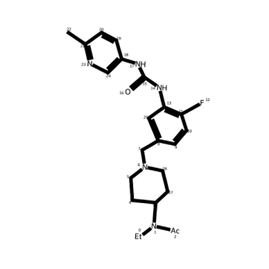 CCN(C(C)=O)C1CCN(Cc2ccc(F)c(NC(=O)Nc3ccc(C)nc3)c2)CC1